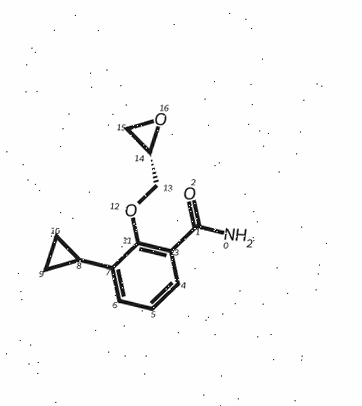 NC(=O)c1cccc(C2CC2)c1OC[C@@H]1CO1